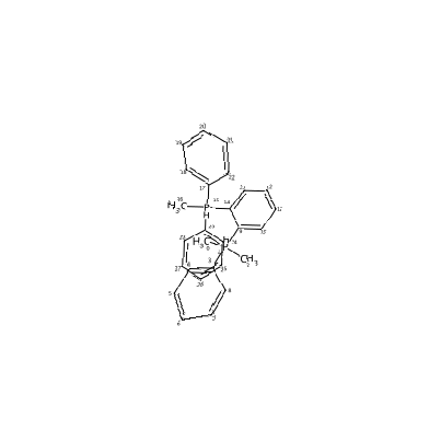 C[PH](C)(c1ccccc1)c1ccccc1[PH](C)(c1ccccc1)c1ccccc1